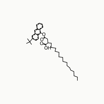 CCCCCCCCCCCCCCCCC(CC(=O)Oc1c2ccccc2cc2cc(C(C)(C)C)ccc12)C(=O)O